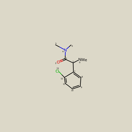 CNC(C(=O)N(C)C)c1ccccc1Cl